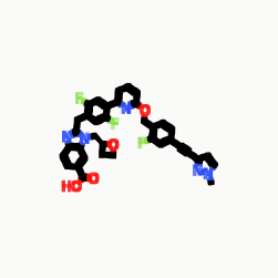 Cn1ccc(C#Cc2ccc(COc3cccc(-c4cc(F)c(Cc5nc6ccc(C(=O)O)cc6n5C[C@@H]5CCO5)cc4F)n3)c(F)c2)n1